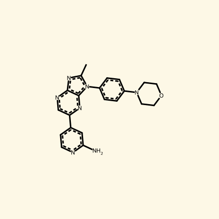 Cc1nc2ncc(-c3ccnc(N)c3)nc2n1-c1ccc(N2CCOCC2)cc1